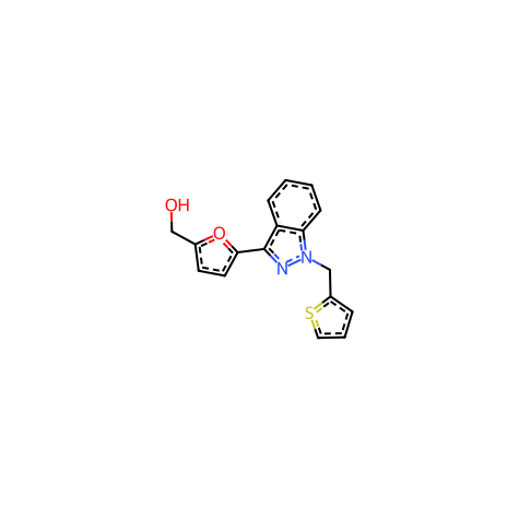 OCc1ccc(-c2nn(Cc3cccs3)c3ccccc23)o1